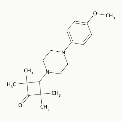 COc1ccc(N2CCN(C3C(C)(C)C(=O)C3(C)C)CC2)cc1